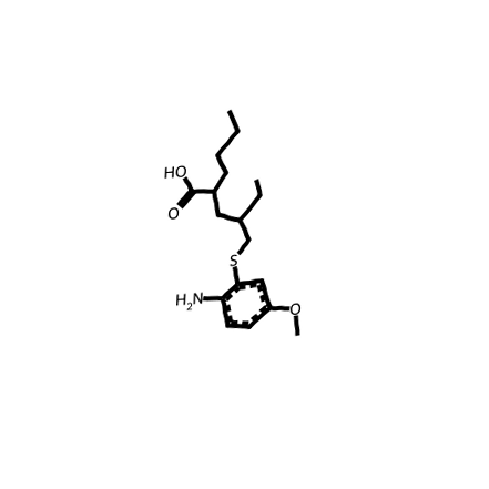 CCCCC(CC(CC)CSc1cc(OC)ccc1N)C(=O)O